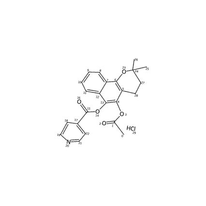 CC(=O)Oc1c2c(c3ccccc3c1OC(=O)c1ccncc1)OC(C)(C)CC2.Cl